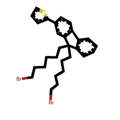 BrCCCCCCC1(CCCCCCBr)c2ccccc2-c2ccc(-c3cccs3)cc21